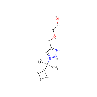 CC(C)(C1CCC1)n1cc(COCCO)nn1